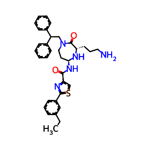 CCc1cccc(-c2nc(C(=O)N[C@H]3CCN(CC(c4ccccc4)c4ccccc4)C(=O)[C@H](CCCN)N3)cs2)c1